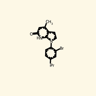 Cc1cc(=O)[nH]c2c1ccn2-c1ccc(C(C)C)cc1Br